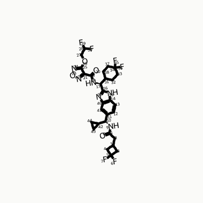 O=C(CC1CC(F)(F)C1)N[C@@H](c1ccc2[nH]c([C@@H](NC(=O)c3nonc3OCC(F)F)C3CCC(F)(F)CC3)nc2c1)C1CC1